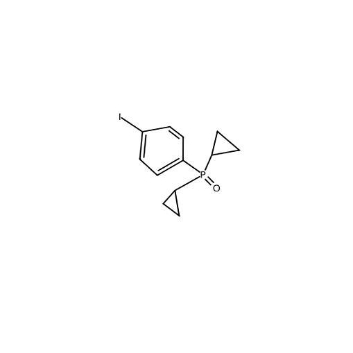 O=P(c1ccc(I)cc1)(C1CC1)C1CC1